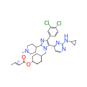 C/C=C/C(=O)OC12CCC(Cn3c(C4CCN(C)CC4)nc(-c4ccc(Cl)c(Cl)c4)c3-c3ccnc(NC4CC4)n3)(CC1)CC2